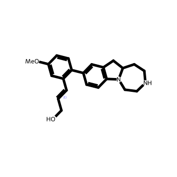 COc1ccc(-c2ccc3c(c2)CC2CCNCCN32)c(/C=C/CO)c1